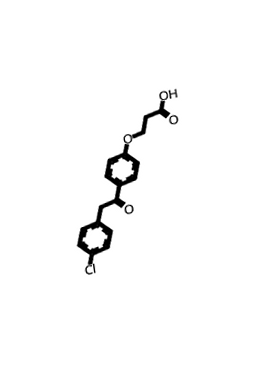 O=C(O)CCOc1ccc(C(=O)Cc2ccc(Cl)cc2)cc1